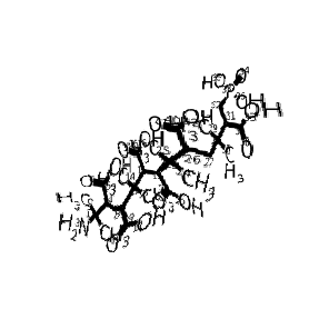 CC(C)(N)C(C(=O)O)C(C(=O)O)C(C)(C)C(C(=O)O)C(C(=O)O)C(C)(C)C(CC(C)(C)C(CP(=O)(O)O)C(=O)O)C(=O)O